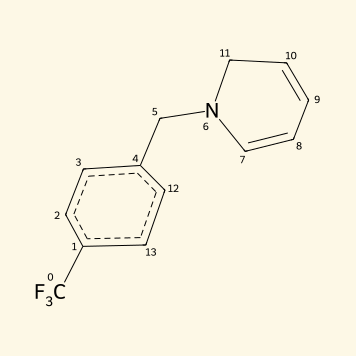 FC(F)(F)c1ccc(CN2C=CC=CC2)cc1